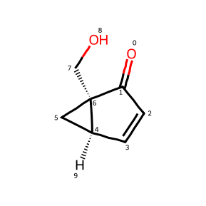 O=C1C=C[C@H]2C[C@@]12CO